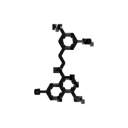 Cc1nnc(NCCc2cc([N+](=O)[O-])cc(C(F)(F)F)c2)c2cc(Cl)cnc12